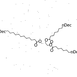 CCCCCCCCCCCCCCCCCCCCCC(=O)OC[C@@H](COC(=O)CCCCCCCCCCCCCCCC)OC(=O)CCCCCCCCCCCCCCCC